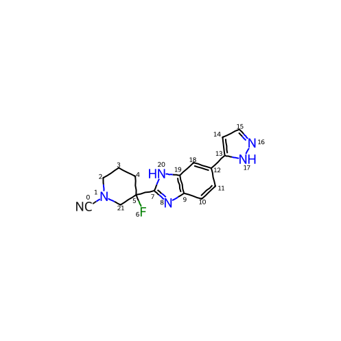 N#CN1CCCC(F)(c2nc3ccc(-c4ccn[nH]4)cc3[nH]2)C1